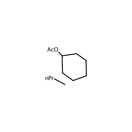 CC(=O)OC1CCCCC1.CCCC